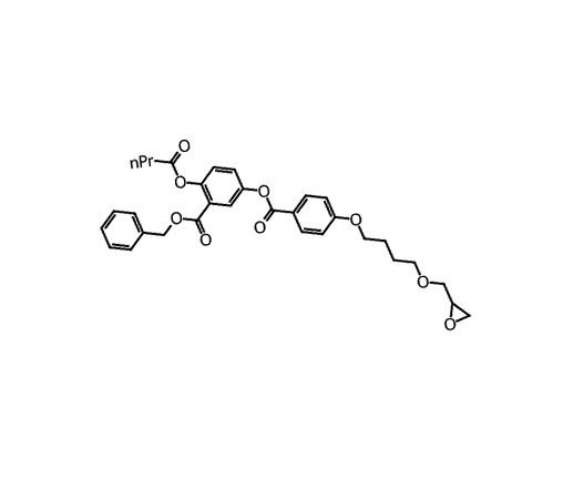 CCCC(=O)Oc1ccc(OC(=O)c2ccc(OCCCCOCC3CO3)cc2)cc1C(=O)OCc1ccccc1